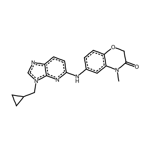 CN1C(=O)COc2ccc(Nc3ccc4ncn(CC5CC5)c4n3)cc21